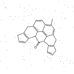 Cc1cc2c3c4c5c(ccc14)CC1=C(C=CC1)C5C(=O)C3C1=C(CC=C1)C2